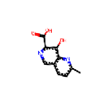 Cc1ccc2cnc(C(=O)O)c(O)c2n1